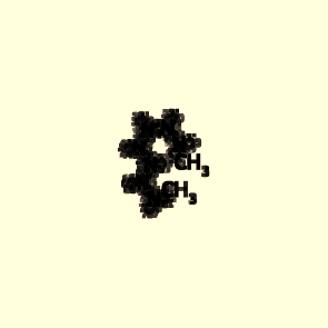 Cc1cccc(N(c2ccccc2)c2ccc(N(c3ccccc3)c3ccc(N(c4ccccc4)c4ccc(N(c5ccccc5)c5ccc(N(c6ccccc6)c6ccc(N(c7ccccc7)c7ccc(N(c8ccccc8)c8cccc(C)c8)cc7)cc6)cc5)cc4)cc3)cc2)c1